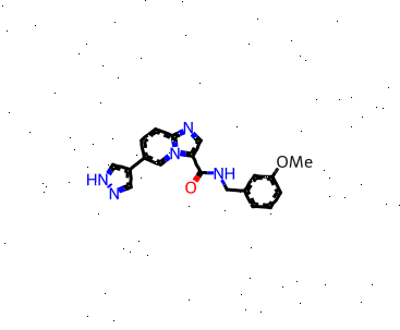 COc1cccc(CNC(=O)c2cnc3ccc(-c4cn[nH]c4)cn23)c1